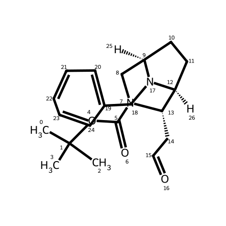 CC(C)(C)OC(=O)N1C[C@H]2CC[C@@H]([C@@H]1CC=O)N2Cc1ccccc1